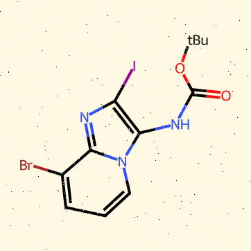 CC(C)(C)OC(=O)Nc1c(I)nc2c(Br)cccn12